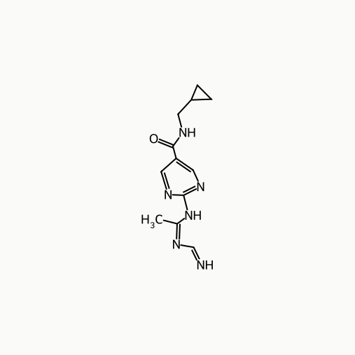 C/C(=N/C=N)Nc1ncc(C(=O)NCC2CC2)cn1